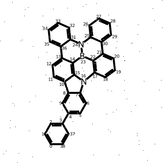 c1ccc(-c2ccc3c(c2)c2ccc4c5c2n3-c2cccc3c2B5N(c2ccccc2-3)c2ccccc2-4)cc1